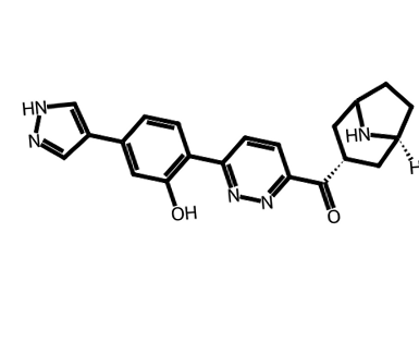 O=C(c1ccc(-c2ccc(-c3cn[nH]c3)cc2O)nn1)[C@@H]1CC2CC[C@@H](C1)N2